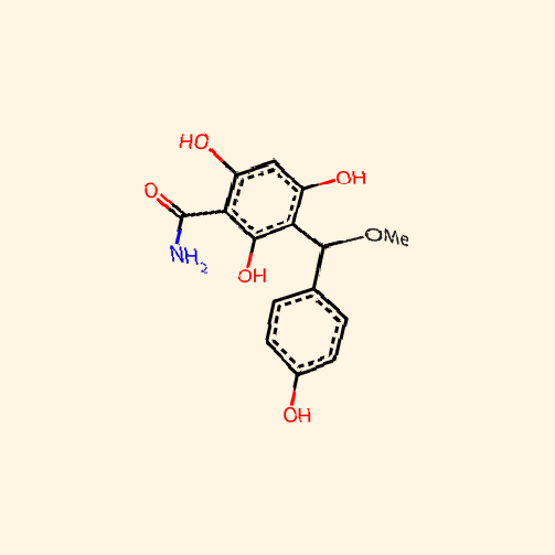 COC(c1ccc(O)cc1)c1c(O)cc(O)c(C(N)=O)c1O